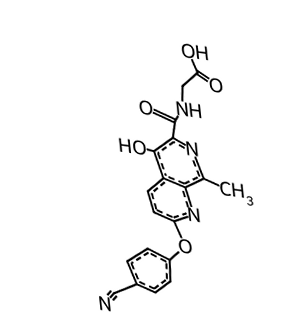 Cc1nc(C(=O)NCC(=O)O)c(O)c2ccc(Oc3ccc(C#N)cc3)nc12